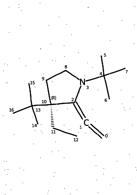 C=C=C1N(C(C)(C)C)CC[C@]1(CC)C(C)(C)C